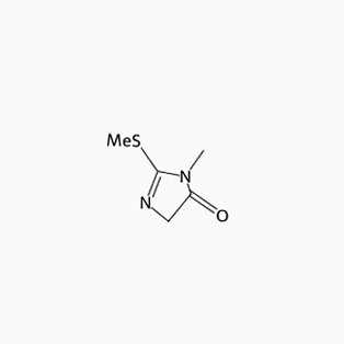 CSC1=NCC(=O)N1C